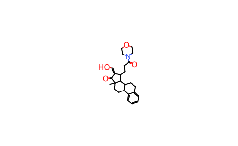 CC12CCC3c4ccccc4CCC3C1C(CCC(=O)N1CCOCC1)/C(=C/O)C2=O